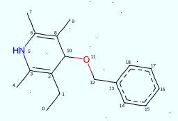 CCC1=C(C)NC(C)=C(C)C1OCc1ccccc1